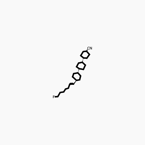 N#C[C@H]1CC[C@H](C2CCC([C@H]3CC[C@H](/C=C/CCCCCF)CC3)CC2)CC1